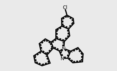 Clc1ccc2cc3c(cc2c1)c1ccc2ccccc2c1c1nc2ccccc2n31